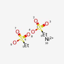 CCS(=O)(=O)[O-].CCS(=O)(=O)[O-].[Ni+2]